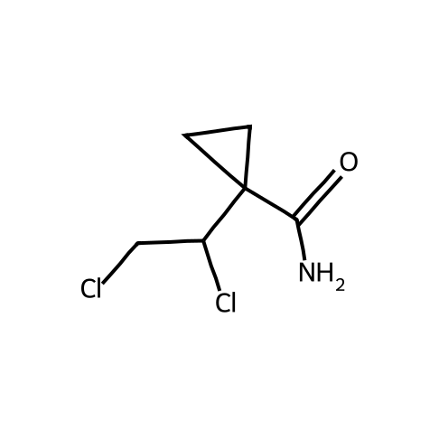 NC(=O)C1(C(Cl)CCl)CC1